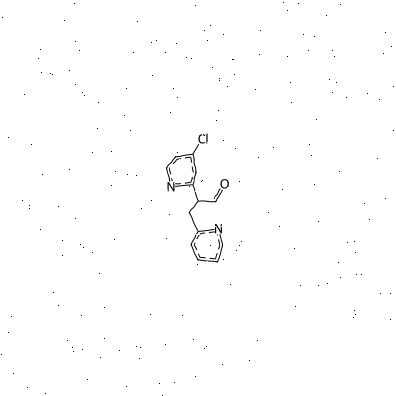 O=CC(Cc1ccccn1)c1cc(Cl)ccn1